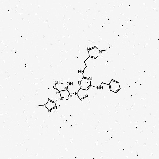 Cn1cnc(CCNc2nc(NCc3ccccc3)c3ncn([C@@H]4O[C@H](c5nnn(C)n5)[C@@H](OC=O)[C@H]4O)c3n2)c1